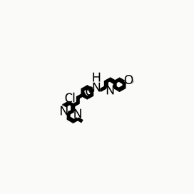 COc1ccc2nc(CNC34CCC(CCc5c(Cl)cnc6ccc(C)nc56)(CC3)CC4)ccc2c1